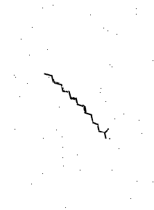 [CH2]C(C)CCCCC=CCC=CCCCCCC